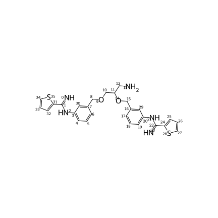 N=C(Nc1cccc(COCC(CN)OCc2cccc(NC(=N)c3cccs3)c2)c1)c1cccs1